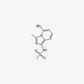 Cc1nc(NS(C)(=O)=O)c2cccc(C(C)(C)C)n12